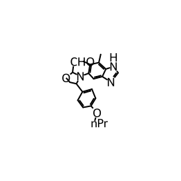 CCCOc1ccc(C2COC(C=O)N2c2cc3nc[nH]c3c(C)c2C)cc1